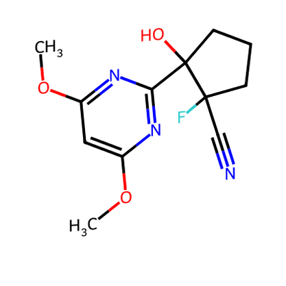 COc1cc(OC)nc(C2(O)CCCC2(F)C#N)n1